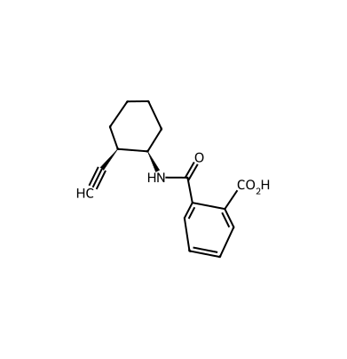 C#C[C@H]1CCCC[C@H]1NC(=O)c1ccccc1C(=O)O